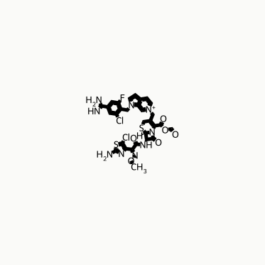 CON=C(C(=O)N[C@@H]1C(=O)N2C(C(=O)OC=O)=C(C[n+]3ccc4ccn(Cc5c(F)cc(C(=N)N)cc5Cl)c4c3)CS[C@H]12)c1nc(N)sc1Cl